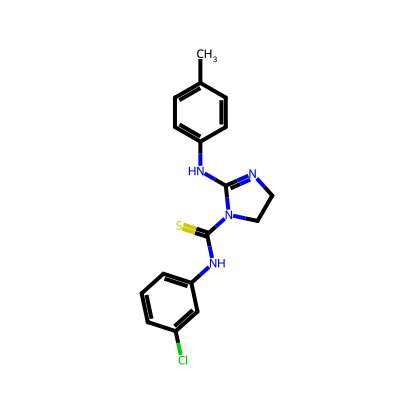 Cc1ccc(NC2=NCCN2C(=S)Nc2cccc(Cl)c2)cc1